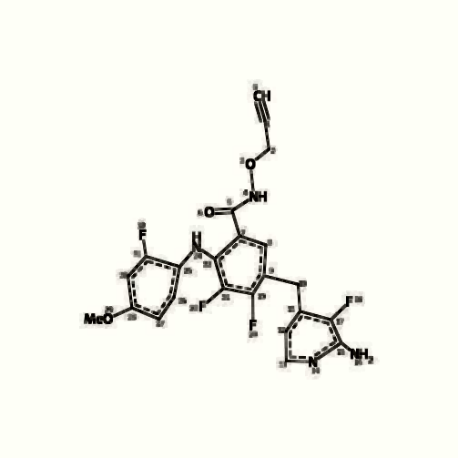 C#CCONC(=O)c1cc(Cc2ccnc(N)c2F)c(F)c(F)c1Nc1ccc(OC)cc1F